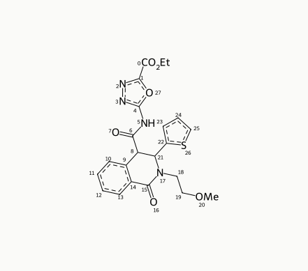 CCOC(=O)c1nnc(NC(=O)C2c3ccccc3C(=O)N(CCOC)C2c2cccs2)o1